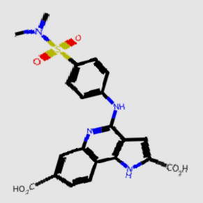 CN(C)S(=O)(=O)c1ccc(Nc2nc3cc(C(=O)O)ccc3c3[nH]c(C(=O)O)cc23)cc1